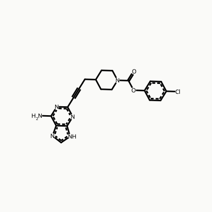 Nc1nc(C#CCC2CCN(C(=O)Oc3ccc(Cl)cc3)CC2)nc2[nH]cnc12